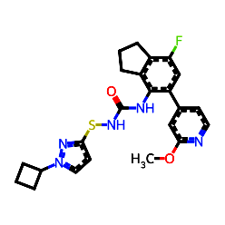 COc1cc(-c2cc(F)c3c(c2NC(=O)NSc2ccn(C4CCC4)n2)CCC3)ccn1